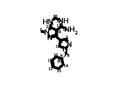 CN1N=C(C2C=NN(C[C@H]3CC=CCC3)C2)C2C(N)NCNC21